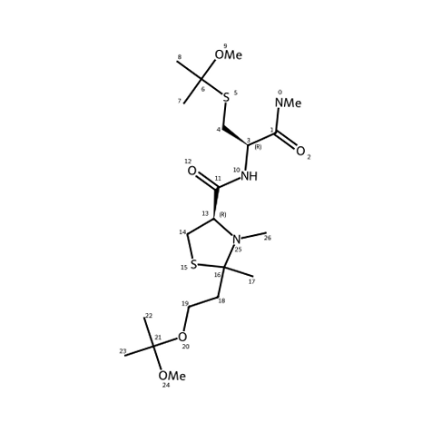 CNC(=O)[C@H](CSC(C)(C)OC)NC(=O)[C@@H]1CSC(C)(CCOC(C)(C)OC)N1C